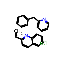 C=Cc1ccc2ccccc2n1.Cl.c1ccc(Cc2ccccn2)cc1